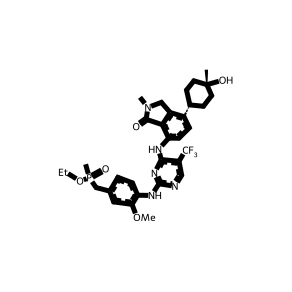 CCOP(C)(=O)Cc1ccc(Nc2ncc(C(F)(F)F)c(Nc3ccc([C@H]4CC[C@@](C)(O)CC4)c4c3C(=O)N(C)C4)n2)c(OC)c1